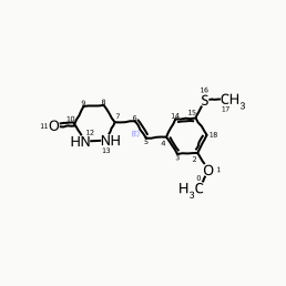 COc1cc(/C=C/C2CCC(=O)NN2)cc(SC)c1